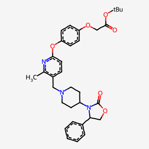 Cc1nc(Oc2ccc(OCC(=O)OC(C)(C)C)cc2)ccc1CN1CCC(N2C(=O)OCC2c2ccccc2)CC1